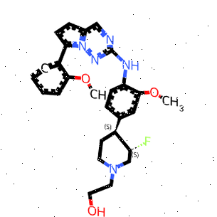 COc1cc([C@@H]2CCN(CCO)C[C@H]2F)ccc1Nc1ncc2ccc(-c3ccccc3OC)n2n1